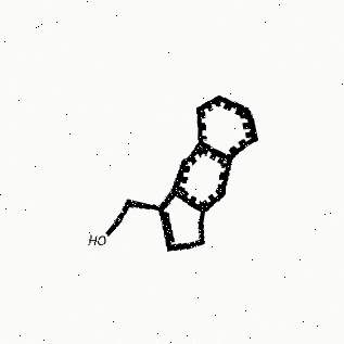 OCC1=CCc2cc3ccccc3cc21